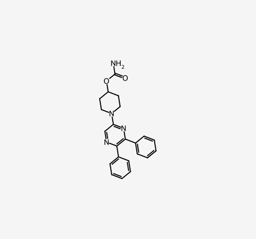 NC(=O)OC1CCN(c2cnc(-c3ccccc3)c(-c3ccccc3)n2)CC1